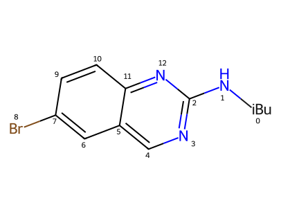 CCC(C)Nc1ncc2cc(Br)ccc2n1